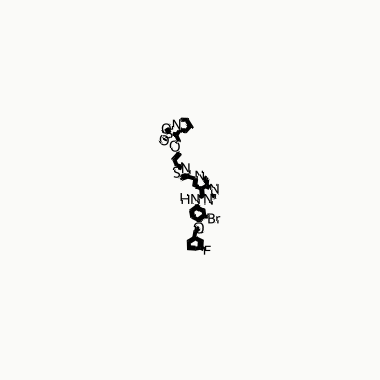 O=S(=O)=C(COCCc1nc(-c2cc3c(Nc4ccc(OCc5cccc(F)c5)c(Br)c4)ncnc3cn2)cs1)c1ccccn1